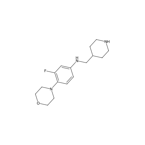 Fc1cc(NCC2CCNCC2)ccc1N1CCOCC1